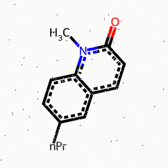 CCCc1ccc2c(ccc(=O)n2C)c1